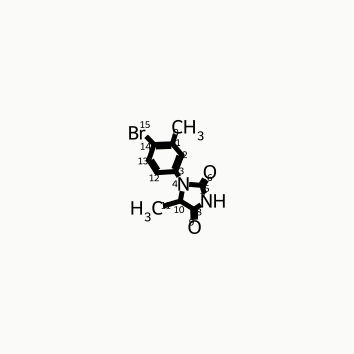 Cc1cc(N2C(=O)NC(=O)C2C)ccc1Br